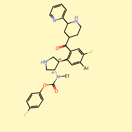 CCN(C(=O)Oc1ccc(F)cc1)[C@@H]1CNC[C@H]1c1cc(C(C)=O)c(F)cc1C(=O)C1CCNC(c2ccccn2)C1